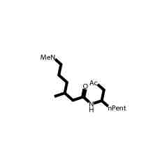 CCCCCC(CC(C)=O)NC(=O)CC(C)CCCNC